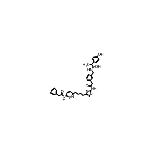 CC(c1ccc(O)cc1)C(O)NCc1cccc(CC(=O)Nc2nnc(CCCCc3ccc(NC(=O)Cc4ccccc4)nn3)s2)c1